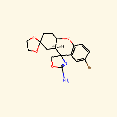 NC1=NC2(CO1)c1cc(Br)ccc1OC1CCC3(C[C@@H]12)OCCO3